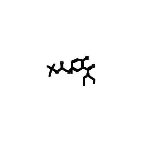 CCN(CC)C(=O)c1cc(NC(=O)OC(C)(C)C)ccc1Cl